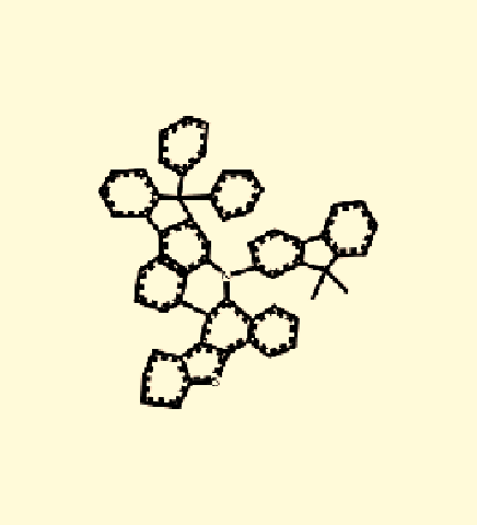 CC1(C)c2ccccc2-c2ccc(N(c3ccc4c(c3)C(c3ccccc3)(c3ccccc3)c3ccccc3-4)c3c(-c4ccccc4)c4c5ccccc5sc4c4ccccc34)cc21